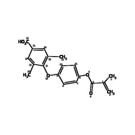 C=C(C)C(=O)Oc1ccc(Oc2c(C)cc(C(=O)O)cc2C)cc1